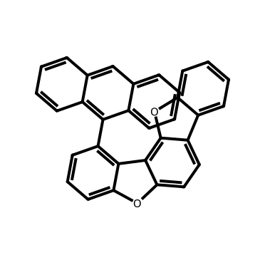 c1ccc2c(-c3cccc4oc5ccc6c7ccccc7oc6c5c34)c3ccccc3cc2c1